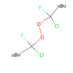 CCCCC(F)(Cl)OOC(F)(Cl)CCCC